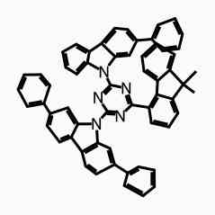 CC1(C)c2ccccc2-c2c(-c3nc(-n4c5ccccc5c5ccc(-c6ccccc6)cc54)nc(-n4c5cc(-c6ccccc6)ccc5c5ccc(-c6ccccc6)cc54)n3)cccc21